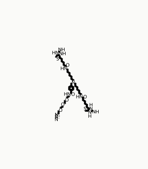 [N-]=[N+]=NCCOCCOCCOCCNC(=O)c1ccc(CN(CCCCCCCNC(=O)CCCCC2SCC3NC(=N)NC32)CCCCCCCNC(=O)CCCCC2SCC3NC(=N)NC32)cc1